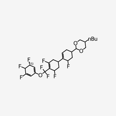 CCCCC1COC(C2CC=C(C3CC(F)=C(C(F)(F)OC4=C[C@H](F)C(F)C(F)=C4)C(F)C3)C(F)C2)OC1